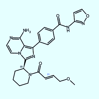 COC/C=C/C(=O)N1CCCC[C@H]1c1nc(-c2ccc(C(=O)Nc3ccon3)cc2)c2c(N)nccn12